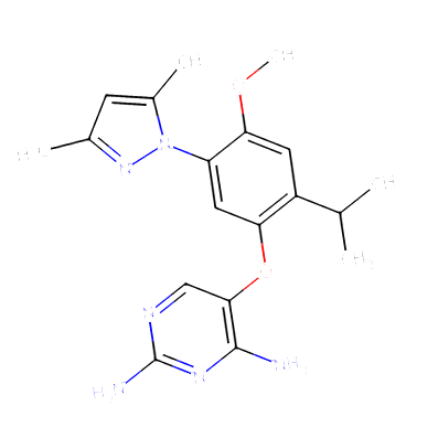 COc1cc(C(C)C)c(Oc2cnc(N)nc2N)cc1-n1nc(C)cc1C